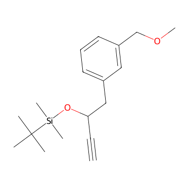 C#CC(Cc1cccc(COC)c1)O[Si](C)(C)C(C)(C)C